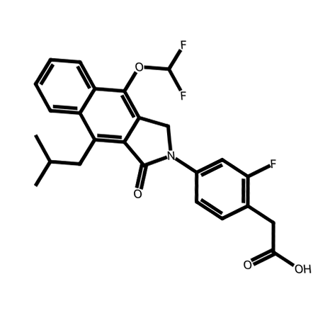 CC(C)Cc1c2c(c(OC(F)F)c3ccccc13)CN(c1ccc(CC(=O)O)c(F)c1)C2=O